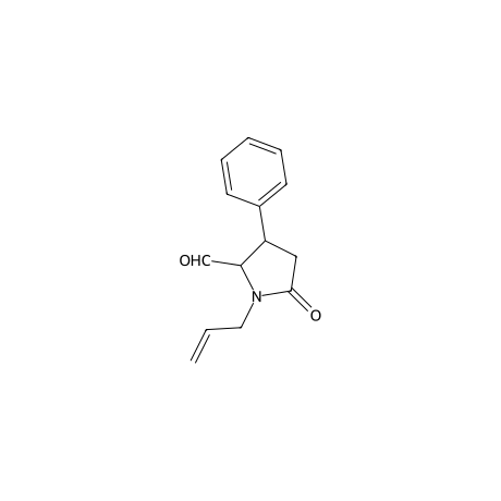 C=CCN1C(=O)CC(c2ccccc2)C1C=O